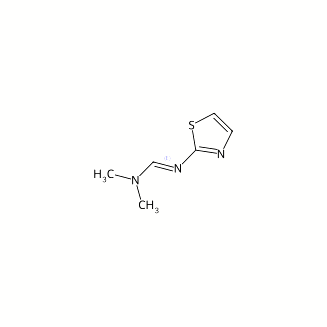 CN(C)/C=N/c1nccs1